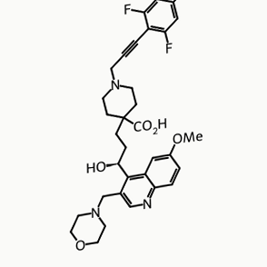 COc1ccc2ncc(CN3CCOCC3)c([C@@H](O)CCC3(C(=O)O)CCN(CC#Cc4c(F)cc(F)cc4F)CC3)c2c1